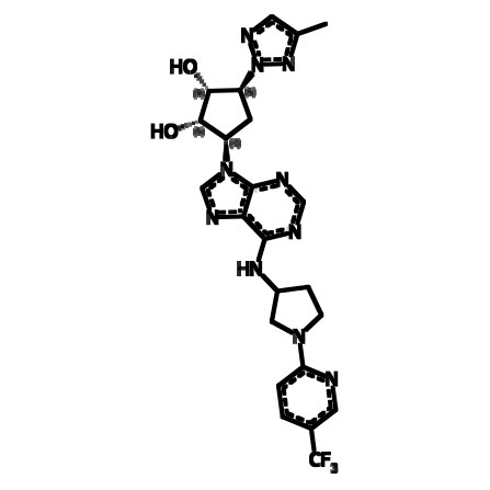 Cc1cnn([C@H]2C[C@@H](n3cnc4c(NC5CCN(c6ccc(C(F)(F)F)cn6)C5)ncnc43)[C@H](O)[C@@H]2O)n1